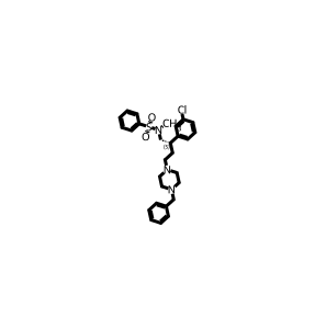 CN(C[C@@H](CCN1CCN(Cc2ccccc2)CC1)c1cccc(Cl)c1)S(=O)(=O)c1ccccc1